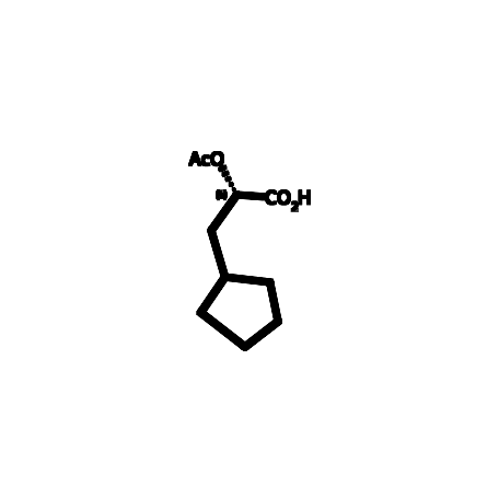 CC(=O)O[C@@H](CC1CCCC1)C(=O)O